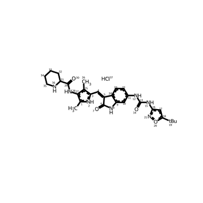 Cc1[nH]c(/C=C2\C(=O)Nc3cc(NC(=O)Nc4cc(C(C)(C)C)on4)ccc32)c(C)c1NC(=O)C1CCCCN1.Cl